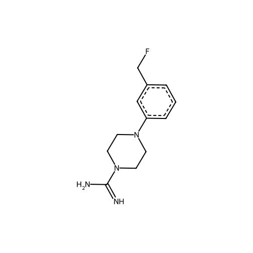 N=C(N)N1CCN(c2cccc(CF)c2)CC1